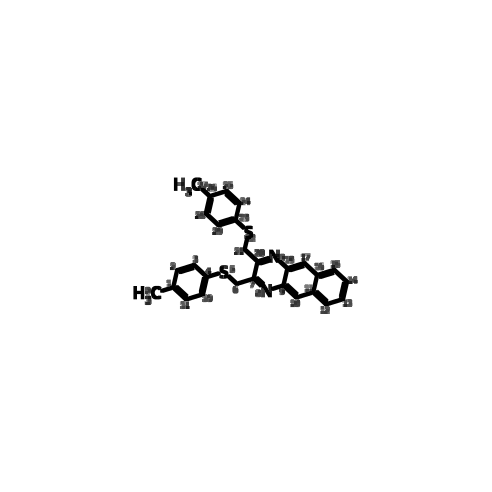 Cc1ccc(SCc2nc3cc4ccccc4cc3nc2CSc2ccc(C)cc2)cc1